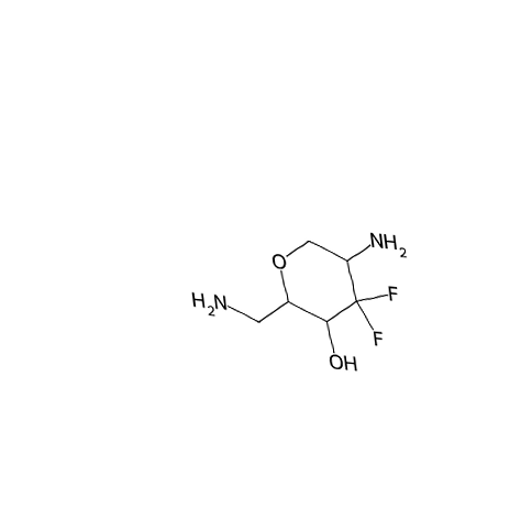 NCC1OCC(N)C(F)(F)C1O